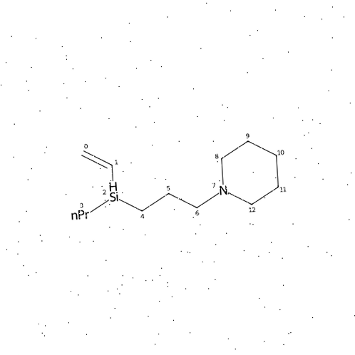 C=C[SiH](CCC)CCCN1CCCCC1